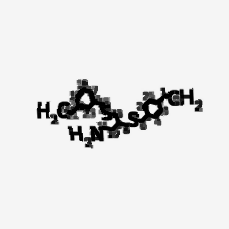 C=Cc1ccc(CSCC(CCN)CSCc2cccc(C=C)c2)cc1